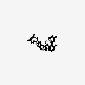 Cc1ccnc(-c2c(F)cccc2C(=O)C2NCC3CN(c4nc(C)cc(C)n4)CC32)c1